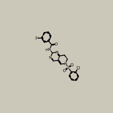 O=C(NC1N=CC2=CN(S(=O)(=O)c3ccccc3Cl)CCC2=N1)c1cccc(F)c1